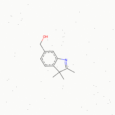 CC1=Nc2cc(CO)ccc2C1(C)C